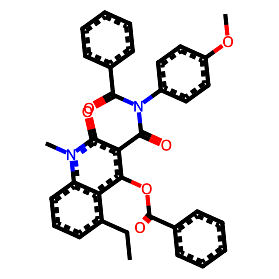 CCc1cccc2c1c(OC(=O)c1ccccc1)c(C(=O)N(C(=O)c1ccccc1)c1ccc(OC)cc1)c(=O)n2C